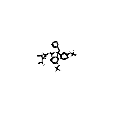 CC(=O)c1sc(NC(=O)NC(Cc2ccccc2)(c2cccc(OC(F)(F)F)c2)c2cccc(OC(F)(F)F)c2)nc1C